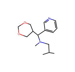 CC(C)CN(C)C(c1cccnc1)C1COCOC1